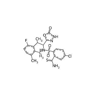 Cc1ccc(F)c(C(C)C(NS(=O)(=O)c2ccc(Cl)cc2C(N)=S)c2n[nH]c(=O)o2)c1C